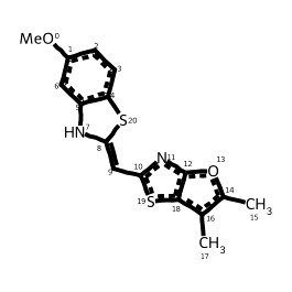 COc1ccc2c(c1)N/C(=C/c1nc3oc(C)c(C)c3s1)S2